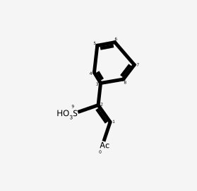 CC(=O)C=C(c1ccccc1)S(=O)(=O)O